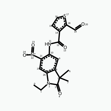 CCN1C(=O)C(C)(C)c2cc(NC(=O)c3ccsc3C=O)c([N+](=O)[O-])cc21